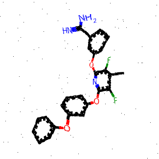 Cc1c(F)c(Oc2cccc(Oc3ccccc3)c2)nc(Oc2cccc(C(=N)N)c2)c1F